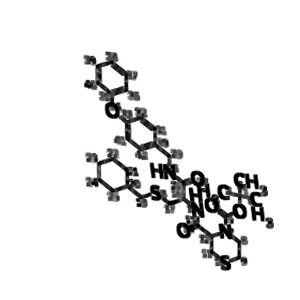 CC(C)(C)OC(=O)N1CCSCC1C(=O)N[C@@H](CSCC1CCCCC1)C(=O)NCc1ccc(Oc2ccccc2)cc1